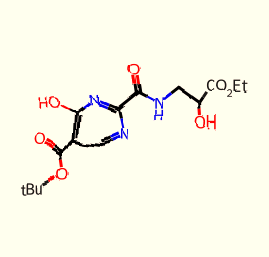 CCOC(=O)C(O)CNC(=O)c1ncc(C(=O)OC(C)(C)C)c(O)n1